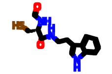 O=CN[C@@H](CS)C(=O)NCCc1c[nH]c2ccccc12